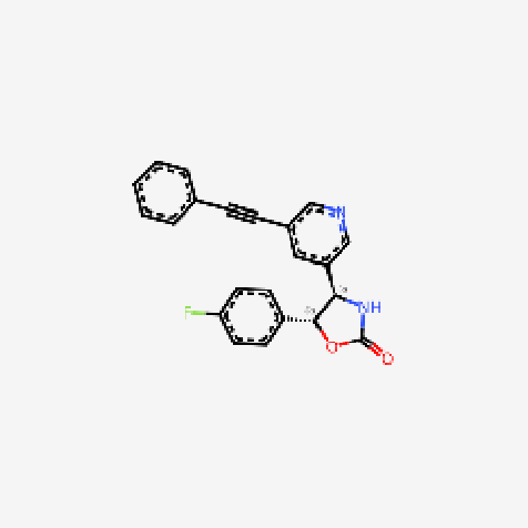 O=C1N[C@H](c2cncc(C#Cc3ccccc3)c2)[C@@H](c2ccc(F)cc2)O1